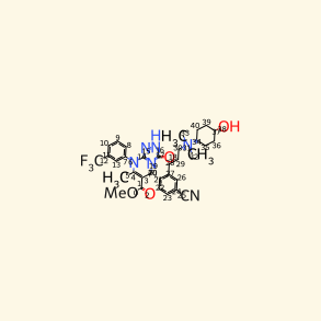 COC(=O)C1=C(C)N(c2cccc(C(F)(F)F)c2)c2n[nH]c(=O)n2[C@@H]1c1ccc(C#N)cc1CCC[N+](C)(C)C1CCC(O)CC1